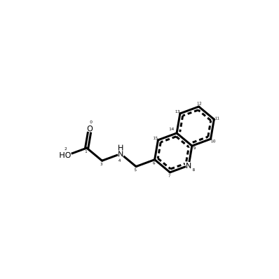 O=C(O)CNCc1cnc2ccccc2c1